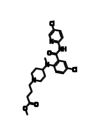 COC(=O)CCCN1CCC(N(C)c2ccc(Cl)cc2C(=O)Nc2ccc(Cl)cn2)CC1